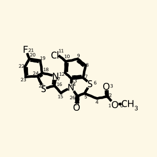 COC(=O)CC1Sc2ccc(Cl)cc2N(Cc2nc3cc(F)ccc3s2)C1=O